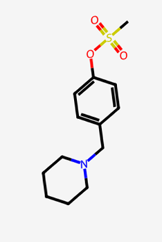 CS(=O)(=O)Oc1ccc(CN2CCCCC2)cc1